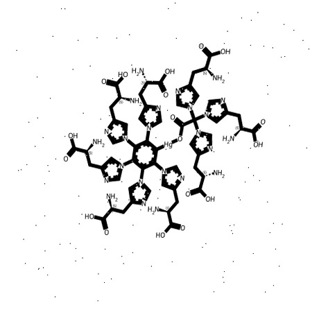 N[C@@H](Cc1cn(-c2[c]([Hg][O]C(=O)C(n3cnc(C[C@H](N)C(=O)O)c3)(n3cnc(C[C@H](N)C(=O)O)c3)n3cnc(C[C@H](N)C(=O)O)c3)c(-n3cnc(C[C@H](N)C(=O)O)c3)c(-n3cnc(C[C@H](N)C(=O)O)c3)c(-n3cnc(C[C@H](N)C(=O)O)c3)c2-n2cnc(C[C@H](N)C(=O)O)c2)cn1)C(=O)O